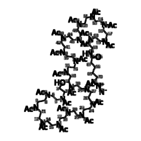 CC(=O)N(CCO)CCN(CCN(CCN(CCN(CCN(CCN(CCN(CCN(CCN(CCN(CCN(CCN(CCN(CCN(CCN(CCN(CCN(CCN(CCN(CCNC(=O)CCCCN=[N+]=[N-])C(C)=O)C(C)=O)C(C)=O)C(C)=O)C(C)=O)C(C)=O)C(C)=O)C(C)=O)C(C)=O)C(C)=O)C(C)=O)C(C)=O)C(C)=O)C(C)=O)C(C)=O)C(C)=O)C(C)=O)C(C)=O)C(C)=O